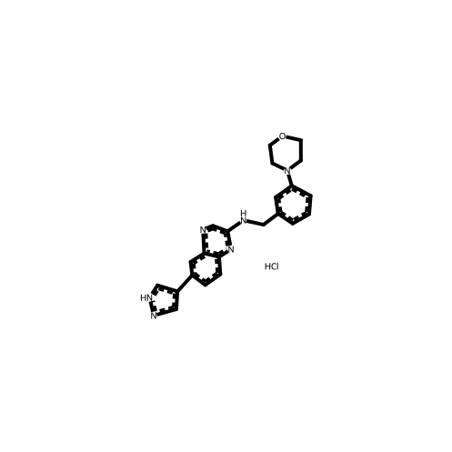 Cl.c1cc(CNc2cnc3cc(-c4cn[nH]c4)ccc3n2)cc(N2CCOCC2)c1